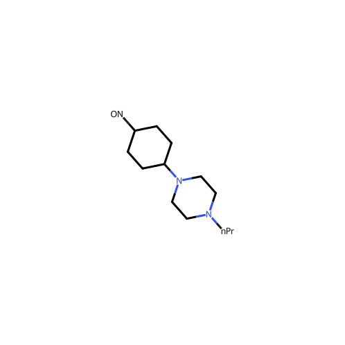 CCCN1CCN(C2CCC(N=O)CC2)CC1